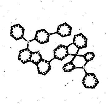 c1ccc(-c2ccc(N(c3ccccc3)c3cccc4c3sc3c(-c5ccc6c(c5)C5(c7ccccc7-6)c6ccccc6N(c6ccccc6)c6ccccc65)cccc34)cc2)cc1